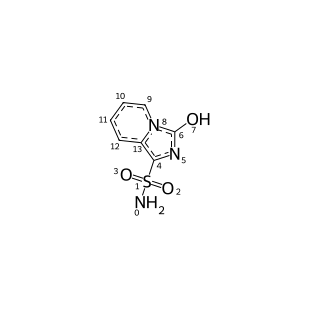 NS(=O)(=O)c1nc(O)n2ccccc12